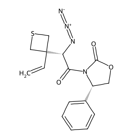 C=CC1([C@H](N=[N+]=[N-])C(=O)N2C(=O)OC[C@@H]2c2ccccc2)CSC1